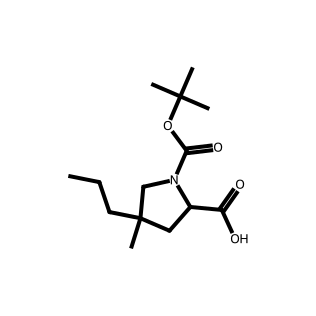 CCCC1(C)CC(C(=O)O)N(C(=O)OC(C)(C)C)C1